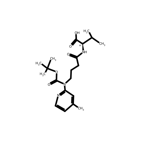 Cc1ccnc(N(CCCC(=O)N[C@@H](C(=O)O)C(C)C)C(=O)OC(C)(C)C)c1